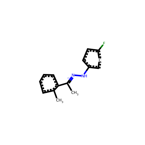 C/C(=N\Nc1ccc(F)cc1)c1ccccc1C